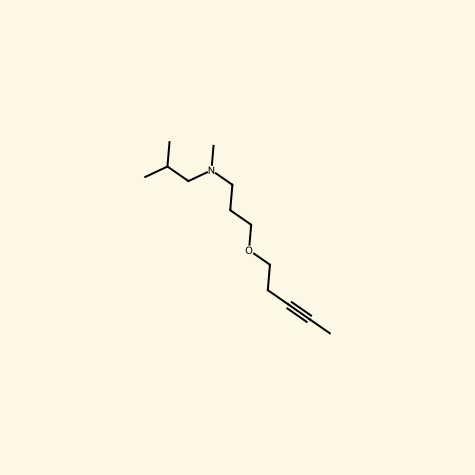 CC#CCCOCCCN(C)CC(C)C